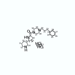 Cl.Cl.Cl.O=C(C1CSC(C2CCCNC2)N1)N1CCN(CCCc2ccccc2)CC1